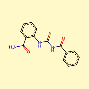 NC(=O)c1ccccc1NC(=S)NC(=O)c1ccccc1